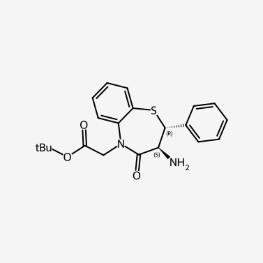 CC(C)(C)OC(=O)CN1C(=O)[C@H](N)[C@@H](c2ccccc2)Sc2ccccc21